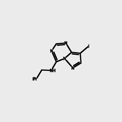 CC(C)CNc1ncnc2c(I)cnn12